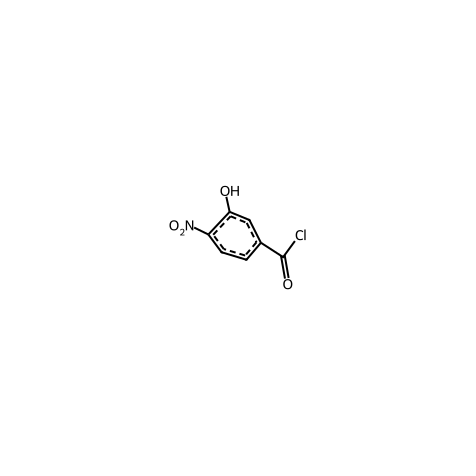 O=C(Cl)c1ccc([N+](=O)[O-])c(O)c1